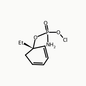 CC[C@@]1(OP(N)(=O)OCl)C=CC=CC1